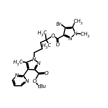 Cc1c(Br)c(C(=O)OC(C)(C)CCCn2nc(C(=O)OC(C)(C)C)c(-c3ncccn3)c2C)nn1C